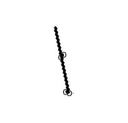 CCCCCCCCCCCCCCCC(=O)OCCCCCCCCCCCCCCCCCC([O])=O